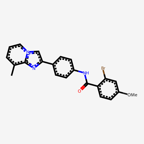 COc1ccc(C(=O)Nc2ccc(-c3cn4cccc(C)c4n3)cc2)c(Br)c1